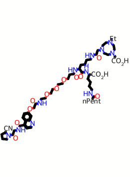 CCCCCC(=O)NCCCCC(NC(=O)C(CCCCNC(=O)CN1CCN(CC)CCN(CC(=O)O)CC1)NC(=O)CCOCCOCCOCCNC(=O)COc1ccc2c(C(=O)NCC(=O)N3CCCC3C#N)ccnc2c1)C(=O)O